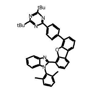 Cc1cccc(C)c1-n1c(-c2cccc3c2oc2c(-c4ccc(-c5nc(C(C)(C)C)nc(C(C)(C)C)n5)cc4)cccc23)nc2ccccc21